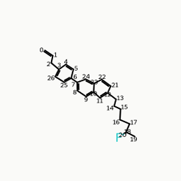 C=CCc1ccc(-c2ccc3cc(CCCCCC(C)F)ccc3c2)cc1